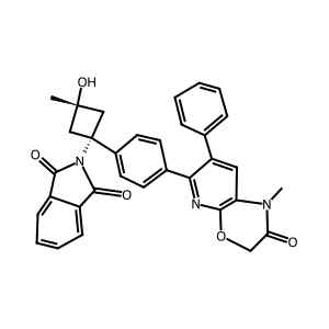 CN1C(=O)COc2nc(-c3ccc([C@]4(N5C(=O)c6ccccc6C5=O)C[C@@](C)(O)C4)cc3)c(-c3ccccc3)cc21